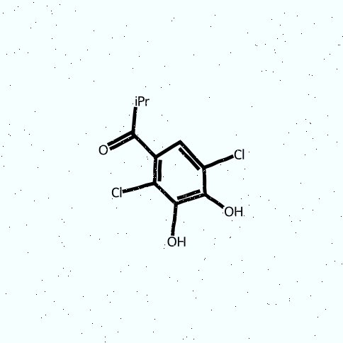 CC(C)C(=O)c1cc(Cl)c(O)c(O)c1Cl